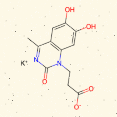 Cc1nc(=O)n(CCC(=O)[O-])c2cc(O)c(O)cc12.[K+]